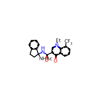 CCn1cc(C(=O)NC2(NC(C)=O)CCc3ccccc32)c(=O)c2cccc(C(F)(F)F)c21